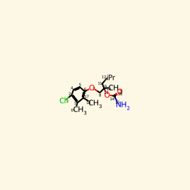 Cc1c(Cl)ccc(OCC(C)(CC(C)C)OC(N)=O)c1C